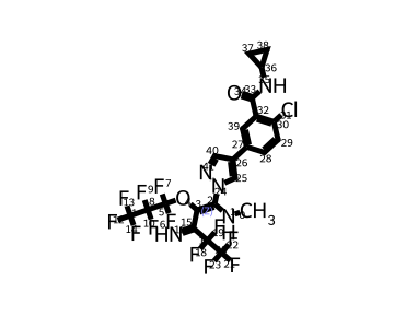 CN/C(=C(/OC(F)(F)C(F)(F)C(F)(F)F)C(=N)C(F)(F)C(F)(F)F)n1cc(-c2ccc(Cl)c(C(=O)NC3CC3)c2)cn1